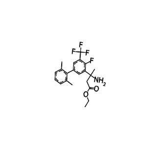 CCOC(=O)CC(C)(N)c1cc(-c2c(C)cccc2C)cc(C(F)(F)F)c1F